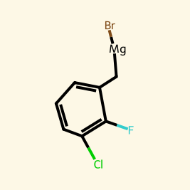 Fc1c(Cl)cccc1[CH2][Mg][Br]